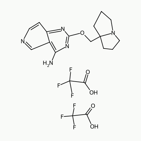 Nc1nc(OCC23CCCN2CCC3)nc2ccncc12.O=C(O)C(F)(F)F.O=C(O)C(F)(F)F